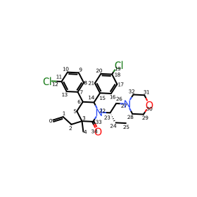 C=CCC1(C)CC(c2cccc(Cl)c2)C(c2ccc(Cl)cc2)N([C@@H](CC)CN2CCOCC2)C1=O